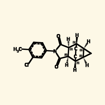 Cc1ccc(N2C(=O)[C@@H]3[C@@H]4CC[C@@H]([C@H]5C[C@H]54)[C@@H]3C2=O)cc1Cl